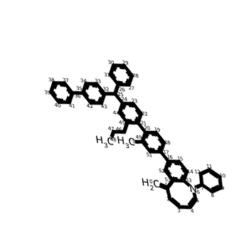 C=C1/C=C\C=C/N(C2C=CC=CC2)c2ccc(-c3ccc(-c4ccc(C(c5ccccc5)c5ccc(-c6ccccc6)cc5)cc4CCC)c(C)c3)cc21